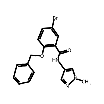 Cn1cc(NC(=O)c2cc(Br)ccc2OCc2ccccc2)cn1